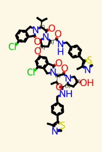 Cc1ncsc1-c1ccc(CNC(=O)[C@@H]2C[C@@H](Oc3cc(Cl)c4c(c3)C(=O)N([C@H](C(=O)N3C[C@H](O)C[C@H]3C(=O)NCc3ccc(-c5scnc5C)cc3)C(C)C)C4)CN2C(=O)[C@H](C(C)C)N2Cc3ccc(Cl)cc3C2=O)cc1